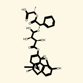 C[C@H](OC(=O)[C@@H](OC(O)[C@H](O)[C@@H](O)C(=O)OC1=CC[C@@]2(O)[C@H]3Cc4ccc(O)c5c4C2(CCN3C)[C@H]1O5)c1ccccc1)C(=O)O